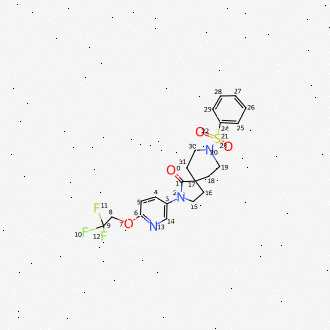 O=C1N(c2ccc(OCC(F)(F)F)nc2)CCC12CCN(S(=O)(=O)c1ccccc1)CC2